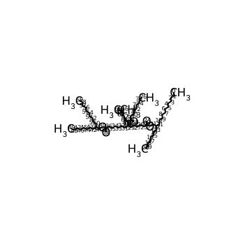 CCCCCCCCCCCCC(CCCCCCCC)COC(=O)CCCCCC(CCCCCCC(=O)OCC(CCCCCCCC)CCCCCCCCCC)N(CCCN(C)C)C(=O)CCCCCCCC